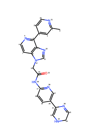 Cc1cc(-c2nccc3c2ncn3CC(=O)Nc2ccc(C3=CNCC=N3)cn2)ccn1